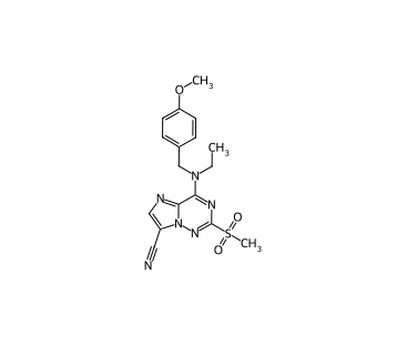 CCN(Cc1ccc(OC)cc1)c1nc(S(C)(=O)=O)nn2c(C#N)cnc12